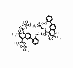 C=CCOC(C)C1=CC(C)(C)Nc2ccc(-c3ccccc3OC)cc21.COc1ccccc1-c1ccc2c(c1)C(C(C)OS(C)(=O)=O)=CC(C)(C)N2C(=O)OC(C)(C)C